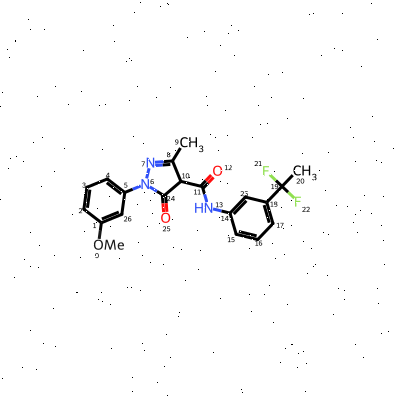 COc1cccc(N2N=C(C)C(C(=O)Nc3cccc(C(C)(F)F)c3)C2=O)c1